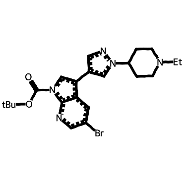 CCN1CCC(n2cc(-c3cn(C(=O)OC(C)(C)C)c4ncc(Br)cc34)cn2)CC1